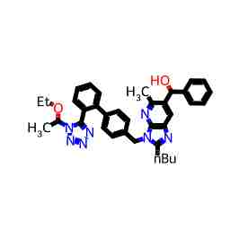 CCCCc1nc2cc(C(O)c3ccccc3)c(C)nc2n1Cc1ccc(-c2ccccc2-c2nnnn2C(C)OCC)cc1